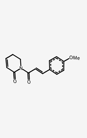 COc1ccc(C=CC(=O)N2CCC=CC2=O)cc1